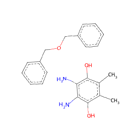 Cc1c(C)c(O)c(N)c(N)c1O.c1ccc(COCc2ccccc2)cc1